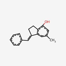 Cc1cc(O)c2c(c1)C(=Cc1ccccc1)CC2